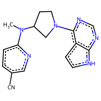 CN(c1ccc(C#N)cn1)C1CCN(c2ncnc3[nH]ccc23)C1